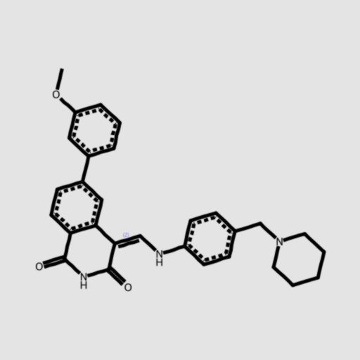 COc1cccc(-c2ccc3c(c2)/C(=C/Nc2ccc(CN4CCCCC4)cc2)C(=O)NC3=O)c1